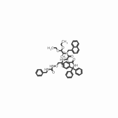 CCOC(OCC)[C@H](C)N(Cc1cccc2ccccc12)C(=O)[C@H](CC(=O)NC(c1ccccc1)(c1ccccc1)c1ccccc1)NC(=O)CONC(=O)NCc1ccccc1